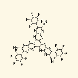 N#Cc1nc2nc3c4nc5nc(-c6c(F)c(F)c(F)c(F)c6F)c(C#N)nc5nc4c4nc5nc(-c6c(F)c(F)c(F)c(F)c6F)c(C#N)nc5nc4c3nc2nc1-c1c(F)c(F)c(F)c(F)c1F